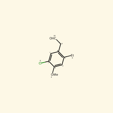 CCc1cc(OC)c(Cl)cc1CC=O